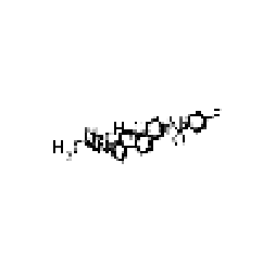 Cc1cn(C2=CCC3C4CC=C5C[C@H](NC(=O)c6ccc(F)cc6)CC[C@]5(C)C4CC[C@]23C)cn1